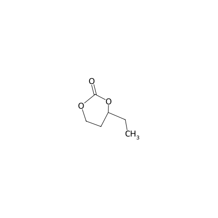 CCC1CCOC(=O)O1